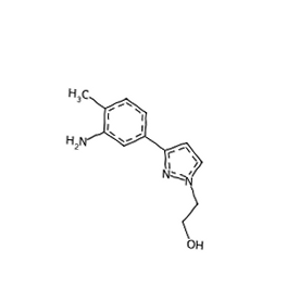 Cc1ccc(-c2ccn(CCO)n2)cc1N